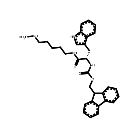 O=C(O)NCCCCCNC(=O)[C@H](Cc1c[nH]c2ccccc12)NC(=O)OCC1c2ccccc2-c2ccccc21